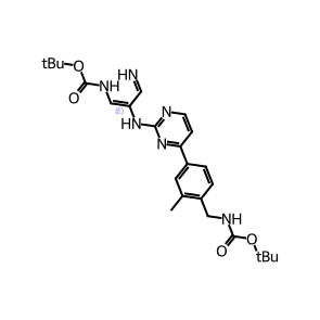 Cc1cc(-c2ccnc(N/C(C=N)=C/NC(=O)OC(C)(C)C)n2)ccc1CNC(=O)OC(C)(C)C